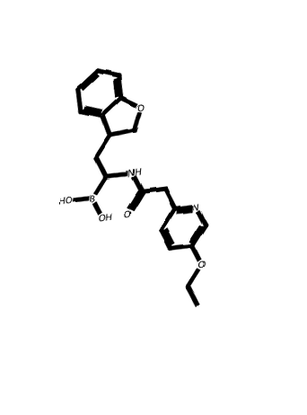 CCOc1ccc(CC(=O)NC(CC2COc3ccccc32)B(O)O)nc1